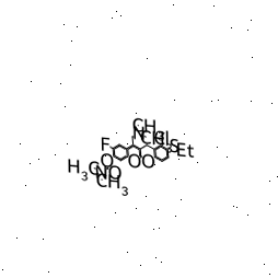 CCSc1cccc(Cc2c(CN(C)C)c3cc(F)c(OC(=O)N(C)C)cc3oc2=O)c1Cl